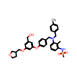 Cc1c(NS(C)(=O)=O)cccc1N(Cc1ccc(C#N)cc1)Cc1ccc(Oc2cc(CO)cc(OCC3CCOC3)c2)cc1